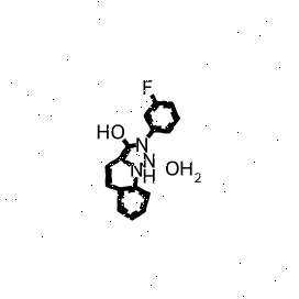 O.OC1=C2C=Cc3ccccc3N2NN1c1cccc(F)c1